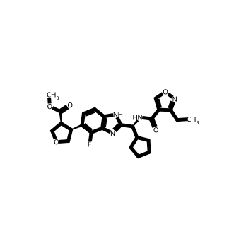 CCc1nocc1C(=O)N[C@H](c1nc2c(F)c([C@H]3COC[C@H]3C(=O)OC)ccc2[nH]1)C1CCCC1